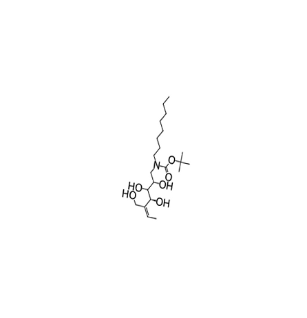 C/C=C(/CO)[C@H](O)C(O)C(O)CN(CCCCCCCC)C(=O)OC(C)(C)C